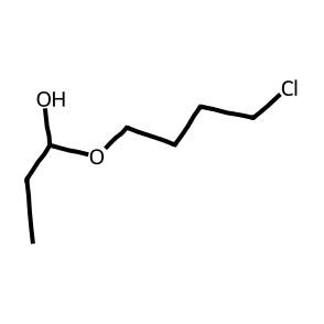 CCC(O)OCCCCCl